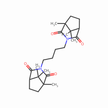 CC12CCC(C(=O)N(CCCCN3C(=O)C4CCC(C)(C3=O)C4(C)C)C1=O)C2(C)C